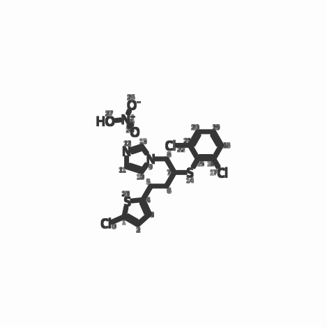 Clc1ccc(CCC(Cn2ccnc2)Sc2c(Cl)cccc2Cl)s1.O=[N+]([O-])O